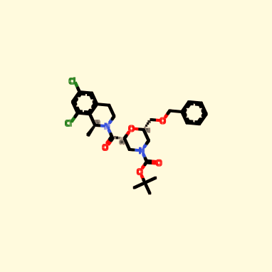 C[C@H]1c2c(Cl)cc(Cl)cc2CCN1C(=O)[C@H]1CN(C(=O)OC(C)(C)C)C[C@@H](COCc2ccccc2)O1